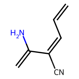 C=C/C=C(/C#N)C(=C)N